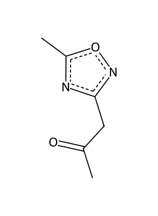 CC(=O)Cc1noc(C)n1